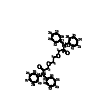 O=C(COCCOCC(=O)N(c1ccccc1)c1ccccc1)N(c1ccccc1)c1ccccc1